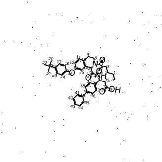 CCCCS(=O)(=O)N1CCc2ccc(Oc3ccc(C(C)(C)C)cc3)cc2C1C(=O)NC(CC(=O)O)c1ccc(-c2ccccc2)cc1